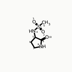 CS(=O)(=O)NC1CCNC1=O